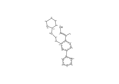 CC(=NO)c1ccc(-c2ccccn2)cc1CCOC1CCCCO1